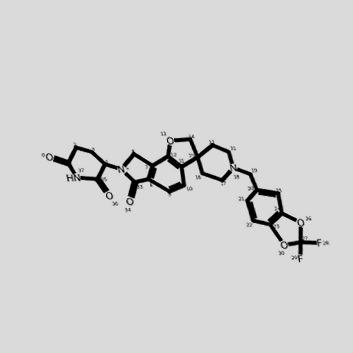 O=C1CCC(N2Cc3c(ccc4c3OCC43CCN(Cc4ccc5c(c4)OC(F)(F)O5)CC3)C2=O)C(=O)N1